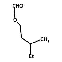 CCC(C)CCOC=O